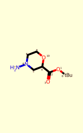 CC(C)(C)OC(=O)C1CN(N)CCO1